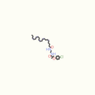 CC/C=C\C/C=C\C/C=C\C/C=C\C/C=C\CCCC(=O)NCCNC(=O)C(C)(C)Oc1ccc(Cl)cc1